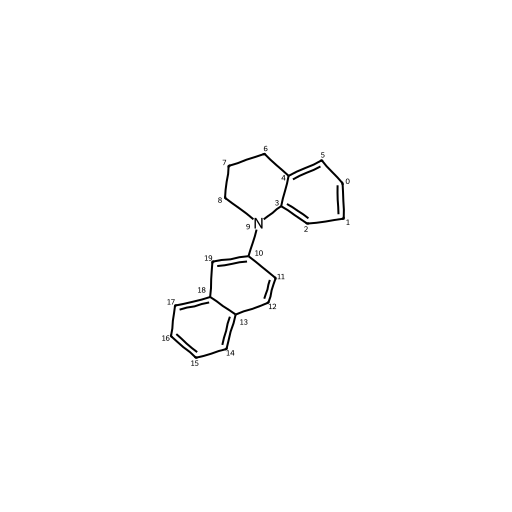 c1ccc2c(c1)CCCN2c1ccc2ccccc2c1